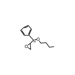 CCCCO[C@H](c1ccccc1)C1CO1